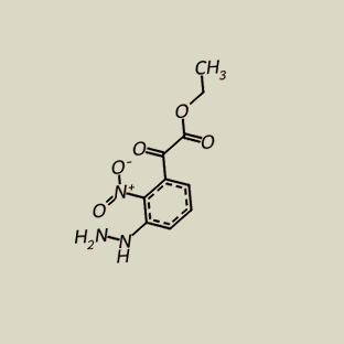 CCOC(=O)C(=O)c1cccc(NN)c1[N+](=O)[O-]